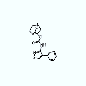 O=C(Nc1nscc1-c1ccccc1)OC1CN2CCC1CC2